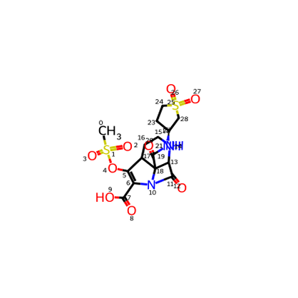 CS(=O)(=O)OC1=C(C(=O)O)N2C(=O)C3NCCC1C32C(=O)N[C@H]1CCS(=O)(=O)C1